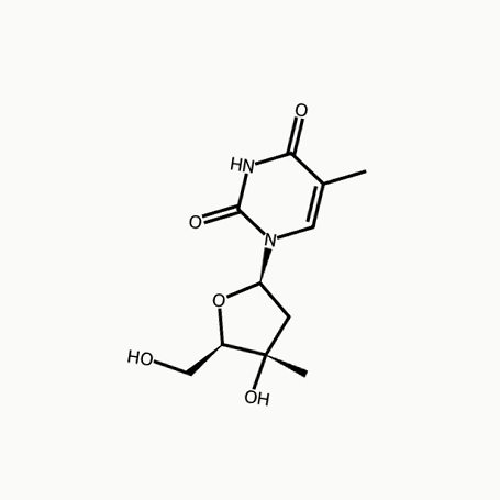 Cc1cn([C@H]2C[C@](C)(O)[C@@H](CO)O2)c(=O)[nH]c1=O